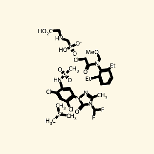 CCc1cccc(CC)c1N(COC)C(=O)CCl.C[S+](C)C.Cc1nn(-c2cc(NS(C)(=O)=O)c(Cl)cc2Cl)c(=O)n1C(F)F.O=C(O)CNCP(=O)([O-])O